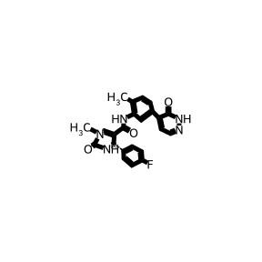 Cc1ccc(-c2ccn[nH]c2=O)cc1NC(=O)C1=CN(C)C(=O)N[C@H]1c1ccc(F)cc1